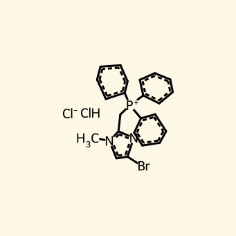 Cl.Cn1cc(Br)nc1C[P+](c1ccccc1)(c1ccccc1)c1ccccc1.[Cl-]